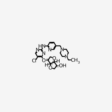 CCN1CCN(Cc2ccc(Nc3ncc(Cl)c(O[C@@H]4CO[C@H]5[C@@H]4OC[C@H]5O)n3)nc2)CC1